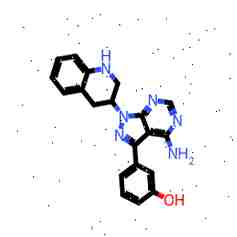 Nc1ncnc2c1c(-c1cccc(O)c1)nn2C1CNc2ccccc2C1